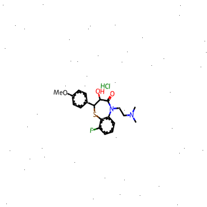 COc1ccc(C2Sc3c(F)cccc3N(CCN(C)C)C(=O)C2O)cc1.Cl